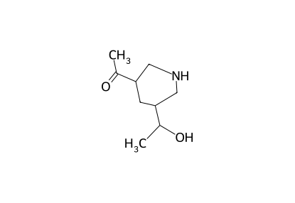 CC(=O)C1CNCC(C(C)O)C1